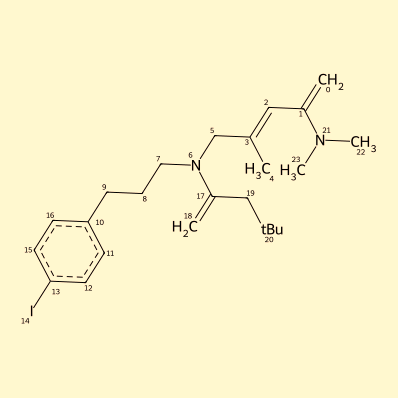 C=C(/C=C(\C)CN(CCCc1ccc(I)cc1)C(=C)CC(C)(C)C)N(C)C